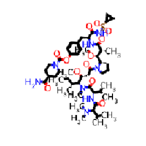 CC[C@H](C)[C@@H]([C@@H](CC(=O)N1CCC[C@H]1[C@H](OC)[C@@H](C)C(=O)N[C@@H](Cc1ccc(OC(=O)N2CCC(C(N)=O)CC2)cc1)C(=O)NS(=O)(=O)C1CC1)OC)N(C)C(=O)[C@@H](NC(=O)C(C(C)C)N(C)C)C(C)C